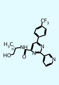 C[C@@H](CO)NC(=O)c1cc(-c2ccc(C(F)(F)F)cc2)nc(-c2cccnc2)n1